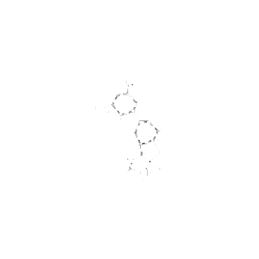 CC1(C)Cc2ccc(-c3cc(Cl)cc(Cl)c3)cc2C1NC(=O)O